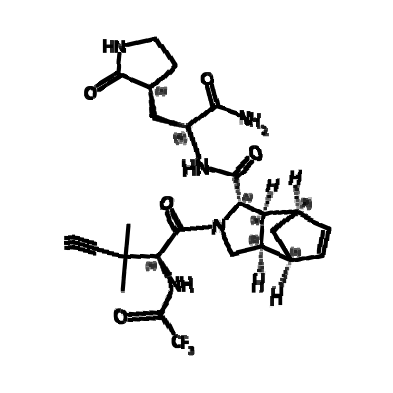 C#CC(C)(C)[C@H](NC(=O)C(F)(F)F)C(=O)N1C[C@H]2[C@@H]([C@H]1C(=O)N[C@@H](C[C@@H]1CCNC1=O)C(N)=O)[C@H]1C=C[C@@H]2C1